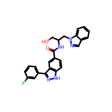 O=C(NC(CO)Cn1ncc2ccccc21)c1ccc2[nH]nc(-c3cccc(F)c3)c2c1